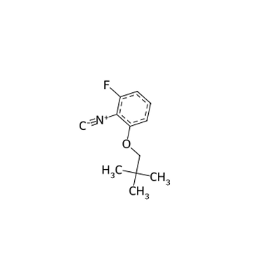 [C-]#[N+]c1c(F)cccc1OCC(C)(C)C